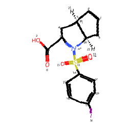 O=C(O)C1C[C@H]2CCC[C@H]2N1S(=O)(=O)c1ccc(I)cc1